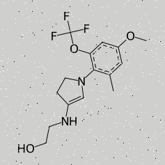 COc1cc(C)c(N2C=C(NCCO)CC2)c(OC(F)(F)F)c1